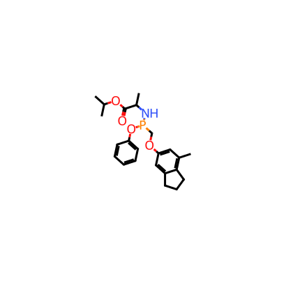 Cc1cc(OCP(NC(C)C(=O)OC(C)C)Oc2ccccc2)cc2c1CCC2